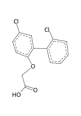 O=C(O)COc1ccc(Cl)cc1-c1ccccc1Cl